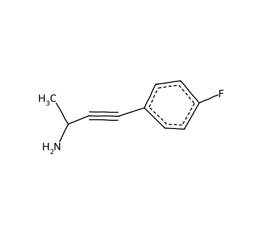 CC(N)C#Cc1ccc(F)cc1